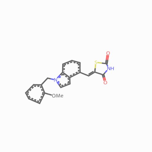 COc1ccccc1Cn1ccc2c(C=C3SC(=O)NC3=O)cccc21